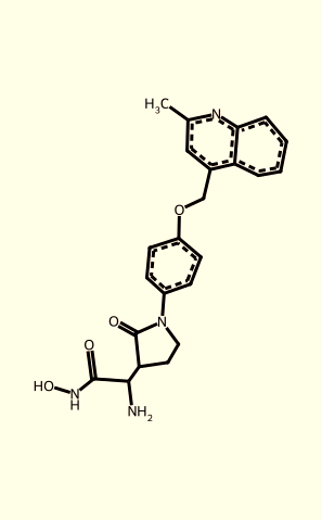 Cc1cc(COc2ccc(N3CCC(C(N)C(=O)NO)C3=O)cc2)c2ccccc2n1